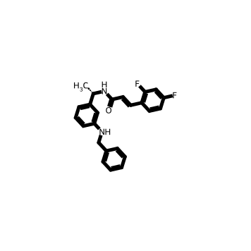 C[C@H](NC(=O)C=Cc1ccc(F)cc1F)c1cccc(NCc2ccccc2)c1